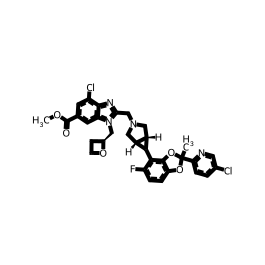 COC(=O)c1cc(Cl)c2nc(CN3C[C@@H]4C(c5c(F)ccc6c5OC(C)(c5ccc(Cl)cn5)O6)[C@@H]4C3)n(C[C@@H]3CCO3)c2c1